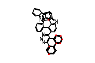 c1ccc(-c2ccccc2-c2nnnc(-c3ccc4c(c3-c3ccccc3-c3ccccc3)-c3c5c(ccc3=N4)=c3ccccc3=N5)c2-c2ccccc2-c2ccccc2)cc1